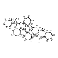 CC1(C)c2ccccc2-c2ccc3c4ccncc4n(-c4ccccc4-c4ccc5c(=O)c6ccccc6oc5c4)c3c21